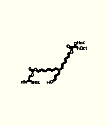 CCCCCCCCC(CCCCCC)C(=O)OCCCCCCN(CCCO)CCCCCCOC(=O)OCC(CCCC)CCCCCC